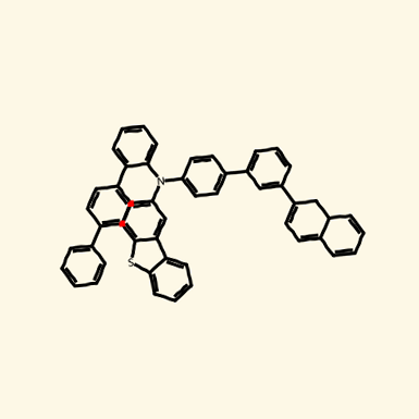 C1=CC2=CC=C(c3cccc(-c4ccc(N(c5ccc6sc7ccccc7c6c5)c5ccccc5-c5ccc(-c6ccccc6)cc5)cc4)c3)CC2C=C1